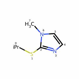 CC(C)Sc1nccn1C